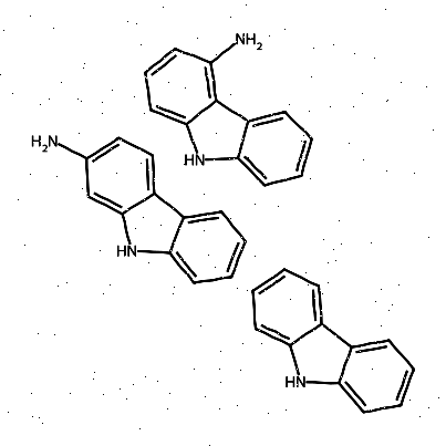 Nc1ccc2c(c1)[nH]c1ccccc12.Nc1cccc2[nH]c3ccccc3c12.c1ccc2c(c1)[nH]c1ccccc12